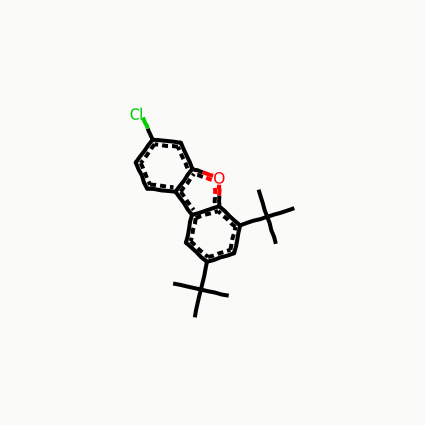 CC(C)(C)c1cc(C(C)(C)C)c2oc3cc(Cl)ccc3c2c1